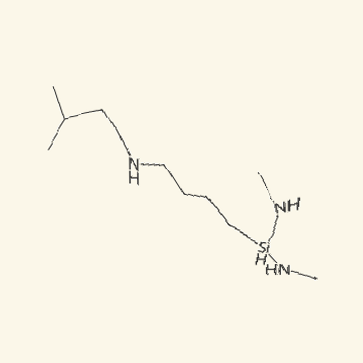 CN[SiH](CCCCNCC(C)C)NC